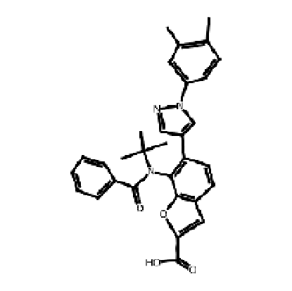 Cc1ccc(-n2cc(-c3ccc4cc(C(=O)O)oc4c3N(C(=O)c3ccccc3)C(C)(C)C)cn2)cc1C